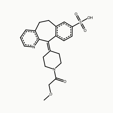 COCC(=O)N1CCC(=C2c3ccc(S(=O)(=O)O)cc3CCc3cccnc32)CC1